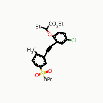 CCCS(=O)(=O)c1ccc(C)c(C#Cc2cc(Cl)ccc2OC(CC)C(=O)OCC)c1